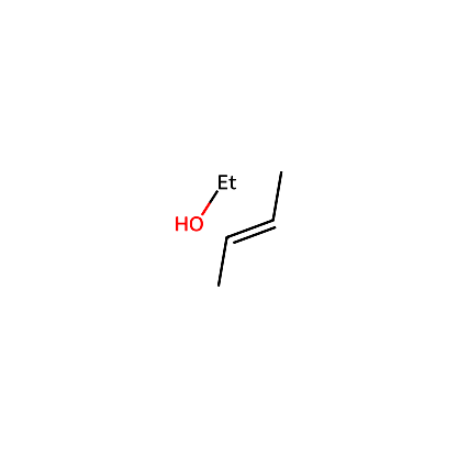 C/C=C/C.CCO